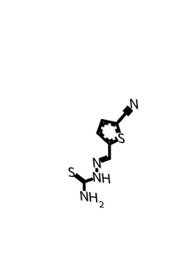 N#Cc1ccc(/C=N/NC(N)=S)s1